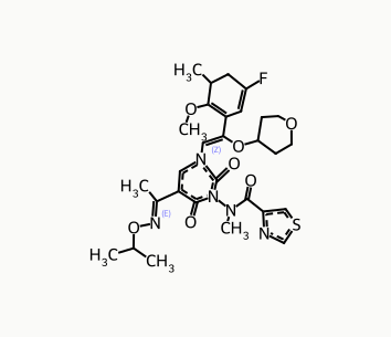 COC1=C(/C(=C/n2cc(/C(C)=N/OC(C)C)c(=O)n(N(C)C(=O)c3cscn3)c2=O)OC2CCOCC2)C=C(F)CC1C